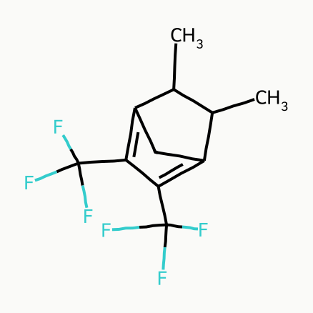 CC1C2=C(C(F)(F)F)C(C(F)(F)F)=C(C2)C1C